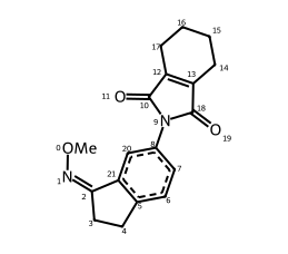 CO/N=C1/CCc2ccc(N3C(=O)C4=C(CCCC4)C3=O)cc21